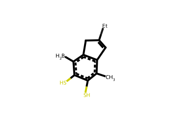 Bc1c(S)c(S)c(C)c2c1CC(CC)=C2